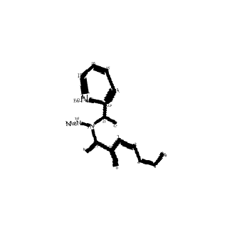 C=C(/C=C\C=C/C)C(C)N(NC)C(C)c1ccccn1